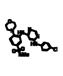 CNS(=O)(=O)c1ccc(N2CCOCC2)c(Nc2cc(Nc3ccc(Cl)cc3)ncn2)c1